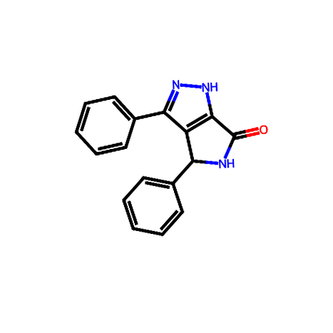 O=C1NC(c2ccccc2)c2c(-c3ccccc3)n[nH]c21